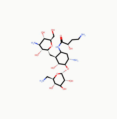 NCC[C@H](O)C(=O)NC1C[C@H](N)[C@@H](O[C@H]2O[C@H](CN)[C@@H](O)C(O)[C@H]2O)[C@H](O)[C@H]1C[C@H]1O[C@H](CO)[C@@H](O)[C@H](N)[C@H]1O